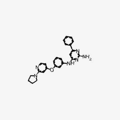 Nc1nc(Nc2cccc(Oc3ccnc(N4CCCC4)c3)c2)cc(-c2ccccc2)n1